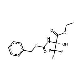 CCOC(=O)[C@](O)(NC(=O)OCc1ccccc1)C(F)(F)F